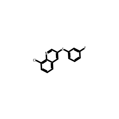 Fc1cccc(Sc2cnc3c(Cl)cccc3c2)c1